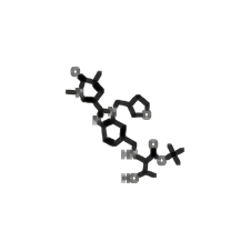 Cc1cc(-c2nc3ccc(CNC(C(=O)OC(C)(C)C)C(C)O)cc3n2CC2CCOC2)cn(C)c1=O